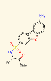 COC(=O)[C@@H](NS(=O)(=O)c1ccc2c(c1)oc1ccc(N)cc12)C(C)C